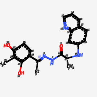 CC/C(=N\NC(=O)[C@@H](C)Nc1ccc2cccnc2c1)c1ccc(O)c(C)c1O